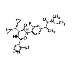 CCc1nocc1C(=O)N[C@H](C(=O)Nc1ccc([C@H](C)C(=O)N(C)CC(F)(F)F)cc1F)C(=C1CC1)C1CC1